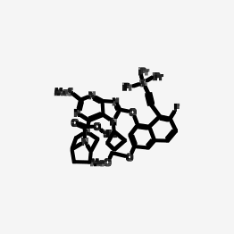 COCOc1cc(Oc2nc3nc(SC)nc(N4CC5CCC(C4)N5C(=O)OC(C)(C)C)c3n2C2CCC2)c2c(C#C[Si](C(C)C)(C(C)C)C(C)C)c(F)ccc2c1